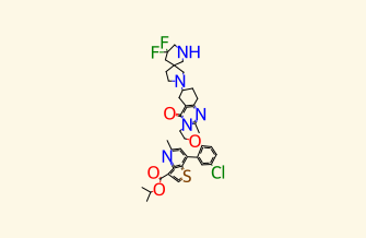 Cc1cc(-c2cc(Cl)ccc2OCCn2c(C)nc3c(c2=O)CC(N2CCC4(CNCC(F)(F)C4)C2)CC3)c2scc(C(=O)OC(C)C)c2n1